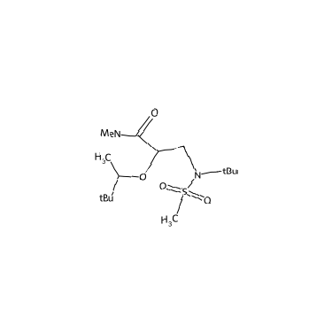 CNC(=O)C(CN(C(C)(C)C)S(C)(=O)=O)OC(C)C(C)(C)C